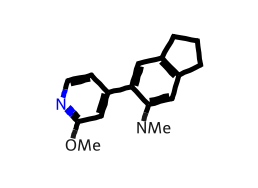 CNc1cc2c(cc1-c1ccnc(OC)c1)CCC2